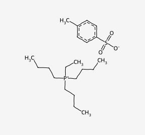 CCCC[P+](CC)(CCCC)CCCC.Cc1ccc(S(=O)(=O)[O-])cc1